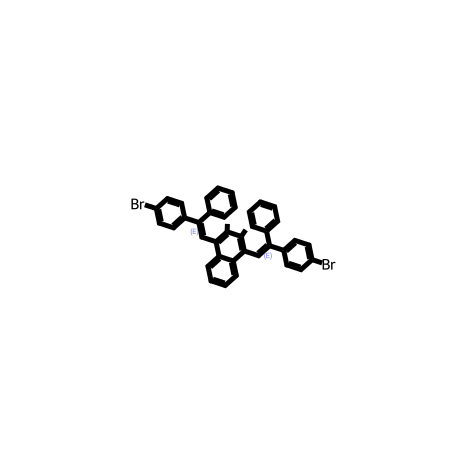 Cc1c(C)c(/C=C(\c2ccccc2)c2ccc(Br)cc2)c2ccccc2c1/C=C(\c1ccccc1)c1ccc(Br)cc1